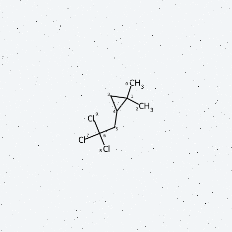 CC1(C)CC1CC(Cl)(Cl)Cl